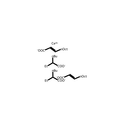 CCCCC(CC)C(=O)[O-].CCCCC(CC)C(=O)[O-].CCCCCCCCC=CC(=O)[O-].CCCCCCCCC=CC(=O)[O-].[Ce+4]